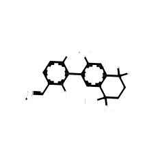 Cc1cc2c(cc1-c1c(O)ccc(C=NO)c1F)C(C)(C)CCC2(C)C